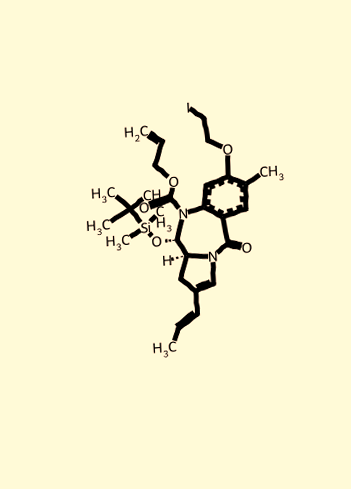 C=CCOC(=O)N1c2cc(OCCI)c(C)cc2C(=O)N2C=C(/C=C/C)C[C@H]2[C@@H]1O[Si](C)(C)C(C)(C)C